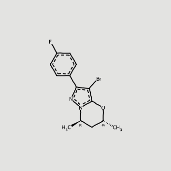 C[C@@H]1C[C@@H](C)n2nc(-c3ccc(F)cc3)c(Br)c2O1